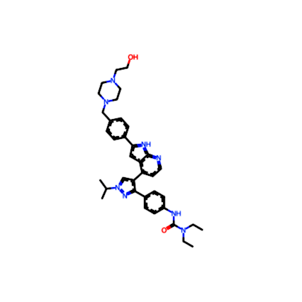 CCN(CC)C(=O)Nc1ccc(-c2nn(C(C)C)cc2-c2ccnc3[nH]c(-c4ccc(CN5CCN(CCO)CC5)cc4)cc23)cc1